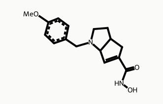 COc1ccc(CN2CCC3CC(C(=O)NO)=CC32)cc1